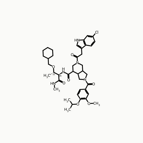 CNC(=O)[C@H](NC(=O)C1CN(C(=O)Cc2c[nH]c3cc(Cl)ccc23)CC2CN(C(=O)c3ccc(OC(C)C)c(OC)c3)CC21)[C@H](C)OCC1CCCCC1